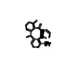 C=C1C2=C(C)CCC=C2C(C)C2=CCCC(C(C)C)=C2B(C)N1/C=C\C